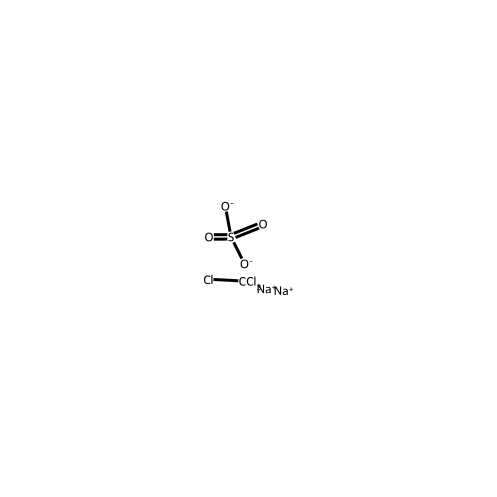 ClC(Cl)(Cl)Cl.O=S(=O)([O-])[O-].[Na+].[Na+]